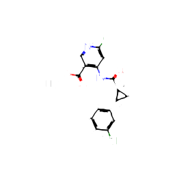 COC(=O)c1cnc(Cl)cc1NC(=O)[C@H]1C[C@@H]1c1cccc(Cl)c1